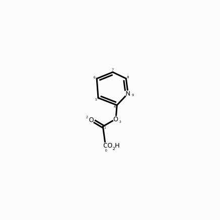 O=C(O)C(=O)Oc1ccccn1